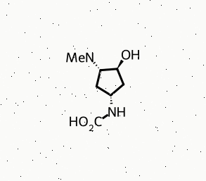 CN[C@H]1C[C@@H](NC(=O)O)C[C@@H]1O